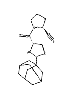 N#C[C@@H]1CCCN1C(=O)[C@@H]1CSC(C23CC4CC(CC(C4)C2)C3)N1